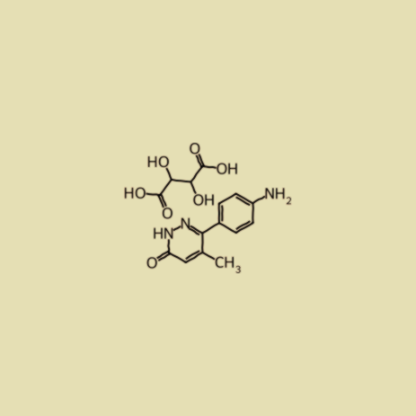 Cc1cc(=O)[nH]nc1-c1ccc(N)cc1.O=C(O)C(O)C(O)C(=O)O